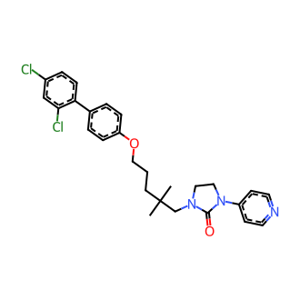 CC(C)(CCCOc1ccc(-c2ccc(Cl)cc2Cl)cc1)CN1CCN(c2ccncc2)C1=O